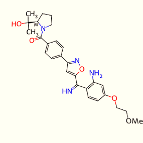 COCCOc1ccc(C(=N)c2cc(-c3ccc(C(=O)N4CCC[C@@H]4C(C)(C)O)cc3)no2)c(N)c1